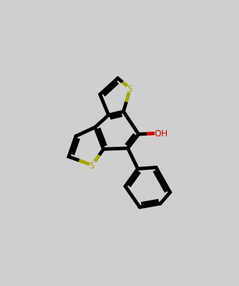 Oc1c(-c2ccccc2)c2sccc2c2ccsc12